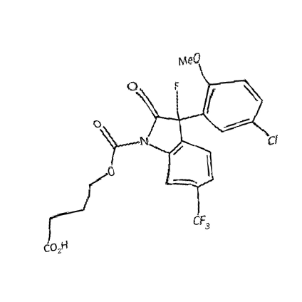 COc1ccc(Cl)cc1C1(F)C(=O)N(C(=O)OCCCC(=O)O)c2cc(C(F)(F)F)ccc21